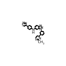 Cc1nccc(-c2cccc(-n3nnc4ccc(Nc5ccc(-c6csnn6)cc5)cc43)c2)n1